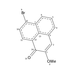 COC1=Cc2cccc3c(Br)ccc(c23)C1=O